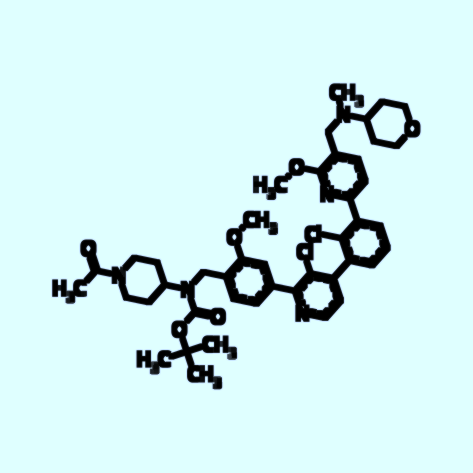 COc1cc(-c2nccc(-c3cccc(-c4ccc(CN(C)C5CCOCC5)c(OC)n4)c3Cl)c2Cl)ccc1CN(C(=O)OC(C)(C)C)C1CCN(C(C)=O)CC1